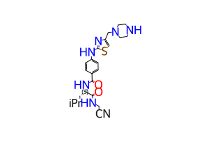 CC(C)C[C@H](NC(=O)c1ccc(Nc2nc(CN3CCNCC3)cs2)cc1)C(=O)NCC#N